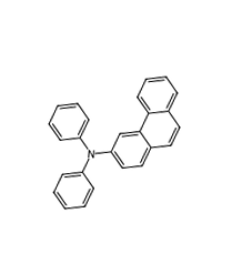 c1ccc(N(c2ccccc2)c2ccc3ccc4ccccc4c3c2)cc1